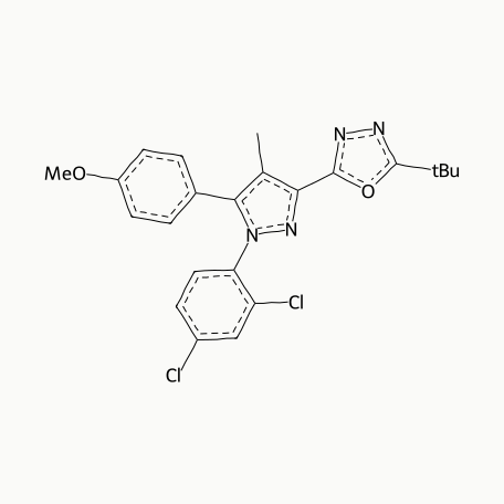 COc1ccc(-c2c(C)c(-c3nnc(C(C)(C)C)o3)nn2-c2ccc(Cl)cc2Cl)cc1